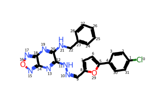 Clc1ccc(-c2ccc(/C=N\Nc3nc4nonc4nc3NCc3ccccc3)o2)cc1